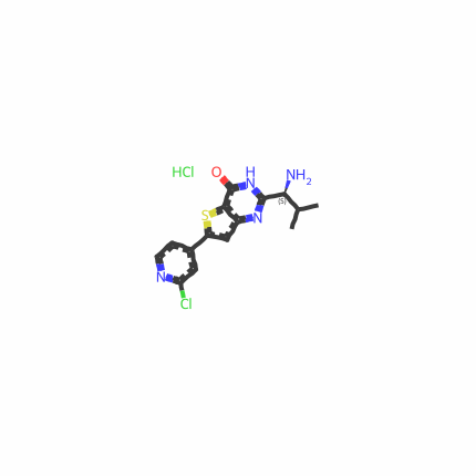 CC(C)[C@H](N)c1nc2cc(-c3ccnc(Cl)c3)sc2c(=O)[nH]1.Cl